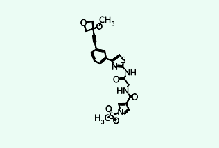 COC1(C#Cc2cccc(-c3csc(NC(=O)CNC(=O)c4ccn(S(C)(=O)=O)c4)n3)c2)COC1